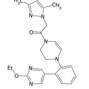 CCOc1ncc(-c2ccccc2N2C=CN(C(=O)Cn3nc(C)cc3C)CC2)cn1